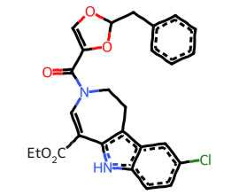 CCOC(=O)C1=CN(C(=O)C2=COC(Cc3ccccc3)O2)CCc2c1[nH]c1ccc(Cl)cc21